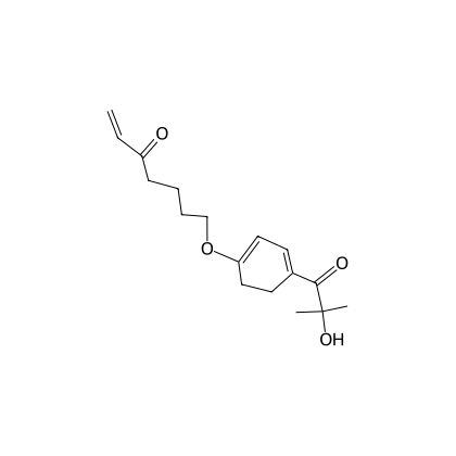 C=CC(=O)CCCCOC1=CC=C(C(=O)C(C)(C)O)CC1